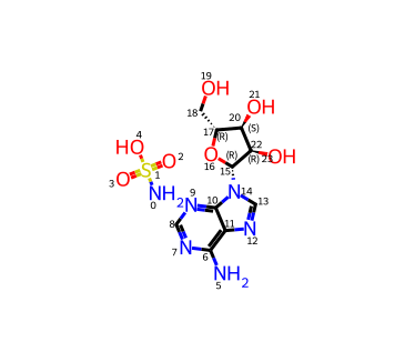 NS(=O)(=O)O.Nc1ncnc2c1ncn2[C@@H]1O[C@H](CO)[C@@H](O)[C@H]1O